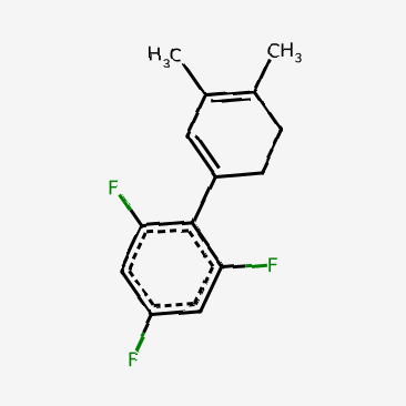 CC1=C(C)CCC(c2c(F)cc(F)cc2F)=C1